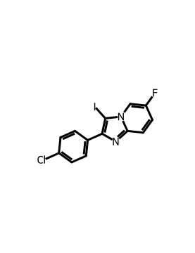 Fc1ccc2nc(-c3ccc(Cl)cc3)c(I)n2c1